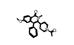 COc1ccc2c(=O)n(C)c(C3CCN(C(C)=O)CC3)c(-c3ccccc3)c2c1